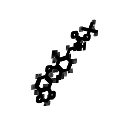 CC(C)(C)OC(=O)NCc1ccc(F)c(Oc2ccc3c(c2)OCO3)c1F